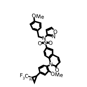 COc1ccc(CN(c2ccon2)S(=O)(=O)c2ccc3c(ccc(=O)n3-c3ccc(C4C[C@H]4C(F)(F)F)cc3OC)c2)cc1